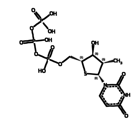 C[C@H]1[C@H](O)[C@@H](COP(=O)(O)OP(=O)(O)OP(=O)(O)O)S[C@H]1n1ccc(=O)[nH]c1=O